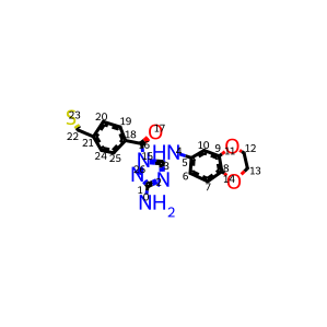 Nc1nc(Nc2ccc3c(c2)OCCO3)n(C(=O)c2ccc(C=S)cc2)n1